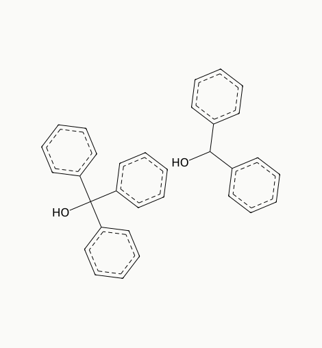 OC(c1ccccc1)(c1ccccc1)c1ccccc1.OC(c1ccccc1)c1ccccc1